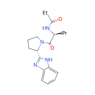 CCC(=O)N[C@H](C(=O)N1CCC[C@H]1c1nc2ccccc2[nH]1)C(C)C